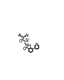 C[Si](C)(C)[C@@H](CNC(=O)c1cccc(-c2cccnc2)c1)C(=O)N(C#N)C1CC1